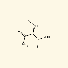 CN[C@H](C(N)=O)[C@@H](C)O